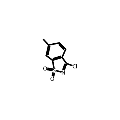 Cc1ccc2c(c1)S(=O)(=O)N=C2Cl